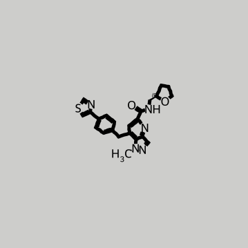 Cn1ncc2nc(C(=O)NC[C@H]3CCCO3)cc(Cc3ccc(-c4cscn4)cc3)c21